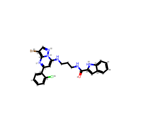 O=C(NCCCNc1cc(-c2ccccc2Cl)nc2c(Br)cnn12)c1cc2ccccc2[nH]1